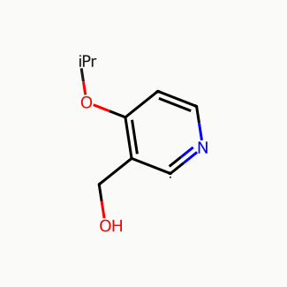 CC(C)Oc1ccn[c]c1CO